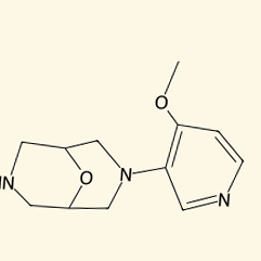 COc1ccncc1N1CC2CNCC(C1)O2